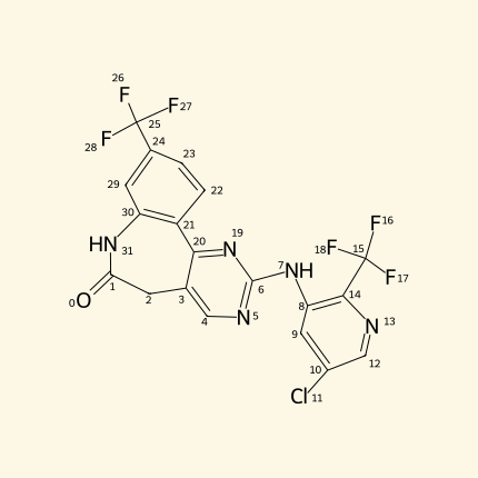 O=C1Cc2cnc(Nc3cc(Cl)cnc3C(F)(F)F)nc2-c2ccc(C(F)(F)F)cc2N1